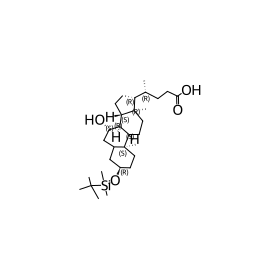 C[C@H](CCC(=O)O)[C@H]1CC[C@H]2[C@@H]3[C@@H](O)CC4C[C@H](O[Si](C)(C)C(C)(C)C)CC[C@]4(C)[C@H]3CC[C@]12C